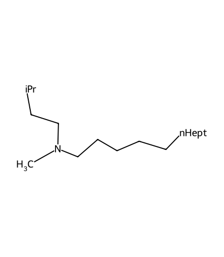 CCCCCCCCCCCCN(C)CCC(C)C